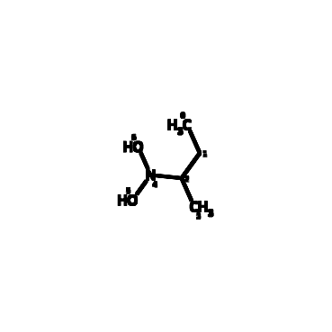 CCC(C)N(O)O